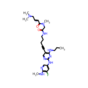 CCCNc1nc(Nc2cnc(NC)c(F)c2)ncc1C#CCCCNC(=O)CN(C)C(=O)/C=C/CN(C)C